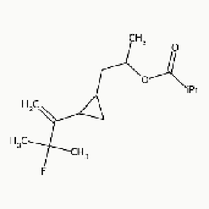 C=C(C1CC1CC(C)OC(=O)C(C)C)C(C)(C)F